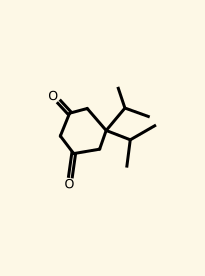 CC(C)C1(C(C)C)CC(=O)CC(=O)C1